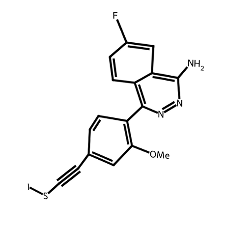 COc1cc(C#CSI)ccc1-c1nnc(N)c2cc(F)ccc12